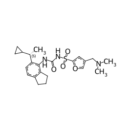 C[C@H](c1ccc2c(c1NC(=O)NS(=O)(=O)c1cc(CN(C)C)co1)CCC2)C1CC1